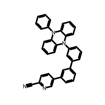 N#Cc1ccc(-c2cccc(-c3cccc(N4c5ccccc5N(c5ccccc5)c5ccccc54)c3)c2)cn1